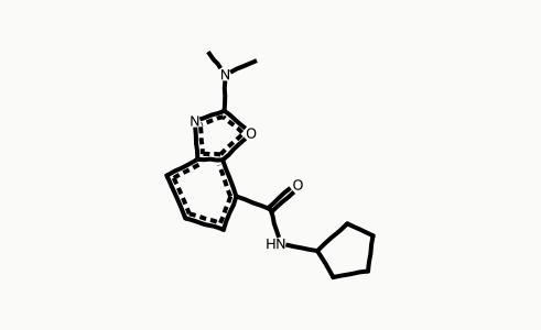 CN(C)c1nc2cccc(C(=O)NC3CCCC3)c2o1